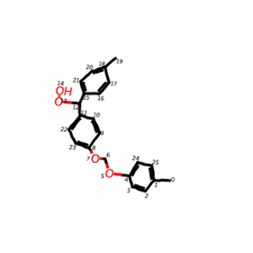 Cc1ccc(OCOc2ccc(C(OO)c3ccc(C)cc3)cc2)cc1